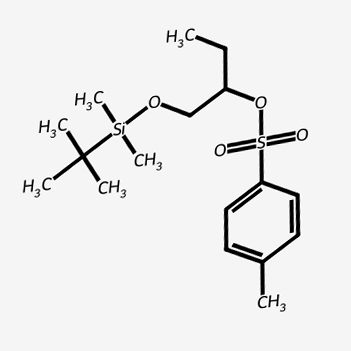 CCC(CO[Si](C)(C)C(C)(C)C)OS(=O)(=O)c1ccc(C)cc1